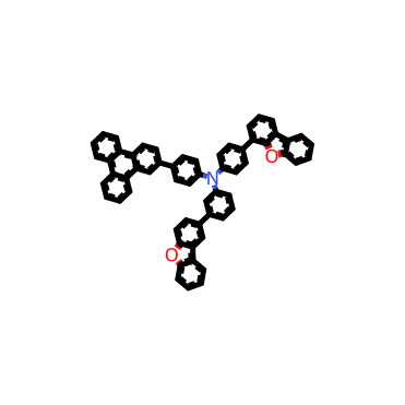 c1cc(-c2ccc3oc4ccccc4c3c2)cc(N(c2ccc(-c3ccc4c5ccccc5c5ccccc5c4c3)cc2)c2ccc(-c3cccc4c3oc3ccccc34)cc2)c1